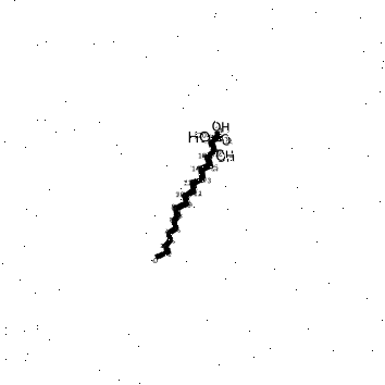 CCCCCCCCCCCCCCCCC/C(O)=C(\O)C(=O)O